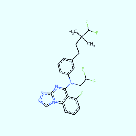 CC(C)(CCc1cccc(N(CC(F)F)c2nc3nncn3c3cccc(F)c23)c1)C(F)F